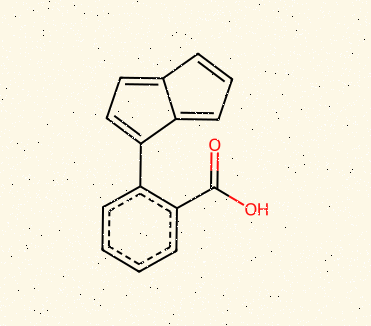 O=C(O)c1ccccc1C1=CC=C2C=CC=C21